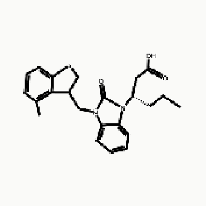 CCC[C@@H](CC(=O)O)n1c(=O)n(CC2CSc3cccc(C)c32)c2ccccc21